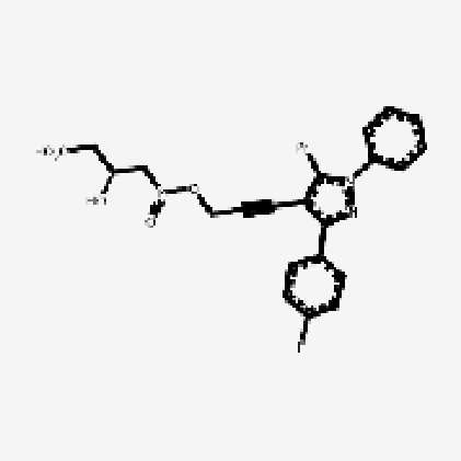 CC(C)c1c(C#CCO[PH](=O)C[C@@H](O)CC(=O)O)c(-c2ccc(F)cc2)nn1-c1ccccc1